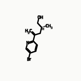 C=C(C[C@@H](C)CO)c1ccc(Br)cn1